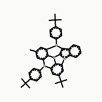 Cc1cc2c3c(c1)N(c1ccc(C(C)(C)C)cc1)c1c4n(c5ccccc15)-c1cc(C(C)(C)C)cc(c1B34)N2c1ccc(C(C)(C)C)cc1